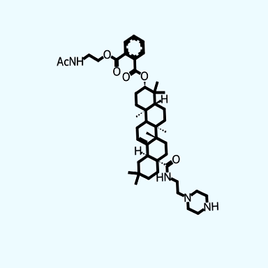 CC(=O)NCCOC(=O)c1ccccc1C(=O)O[C@H]1CC[C@]2(C)C3CC=C4[C@@H]5CC(C)(C)CC[C@]5(C(=O)NCCN5CCNCC5)CC[C@@]4(C)[C@]3(C)CC[C@H]2C1(C)C